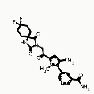 Cc1cc(C(=O)CN2C(=O)NC3(CCC(F)(F)CC3)C2=O)n(C)c1-c1cncc(C(N)=O)c1